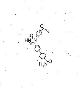 NC(=O)c1ccc(-c2ccc(-c3n[nH]c(=O)n3C[C@@H]3CCN(C(=O)C4CC4)C3)cc2)cc1